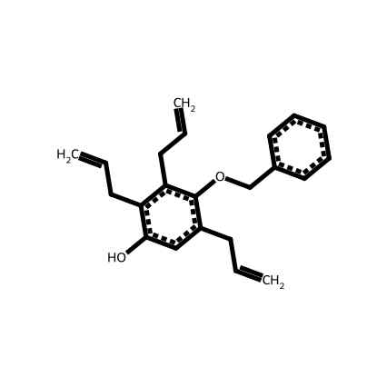 C=CCc1cc(O)c(CC=C)c(CC=C)c1OCc1ccccc1